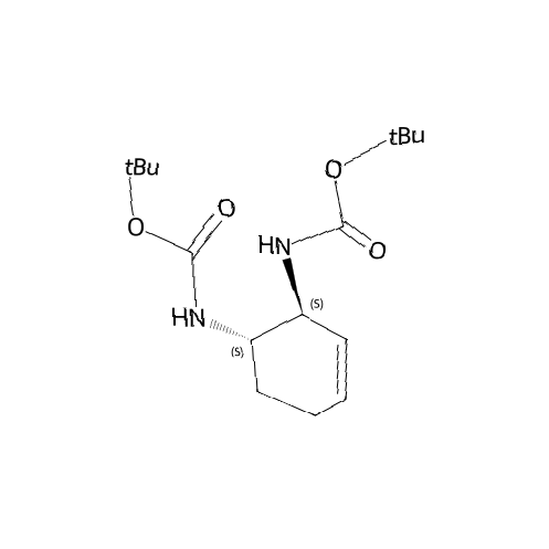 CC(C)(C)OC(=O)N[C@H]1C=CCC[C@@H]1NC(=O)OC(C)(C)C